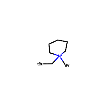 CC(C)[N+]1(CC(C)(C)C)CCCCC1